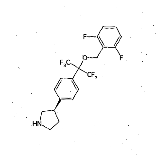 Fc1cccc(F)c1COC(c1ccc([C@H]2CCNC2)cc1)(C(F)(F)F)C(F)(F)F